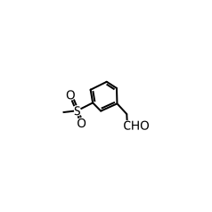 CS(=O)(=O)c1cccc(CC=O)c1